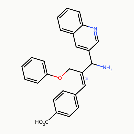 NC(/C(=C/c1ccc(C(=O)O)cc1)COc1ccccc1)c1cnc2ccccc2c1